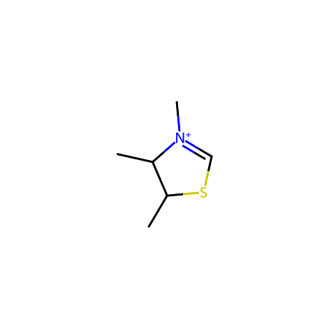 CC1SC=[N+](C)C1C